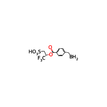 BCc1ccc(C(=O)OC(CS(=O)(=O)O)C(F)(F)F)cc1